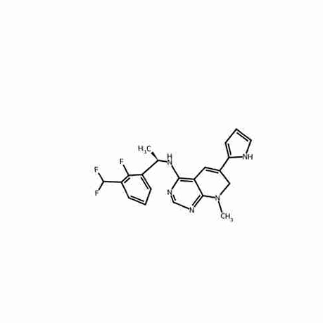 C[C@@H](Nc1ncnc2c1C=C(c1ccc[nH]1)CN2C)c1cccc(C(F)F)c1F